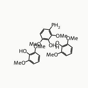 COc1ccc(P)c(OC)c1O.COc1cccc(OC)c1O.COc1cccc(OC)c1O